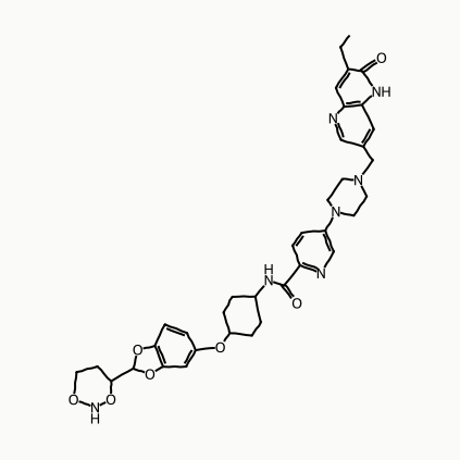 CCc1cc2ncc(CN3CCN(c4ccc(C(=O)NC5CCC(Oc6ccc7c(c6)OC(C6CCONO6)O7)CC5)nc4)CC3)cc2[nH]c1=O